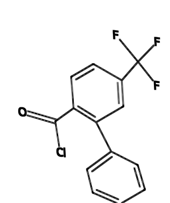 O=C(Cl)c1ccc(C(F)(F)F)cc1-c1ccccc1